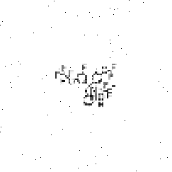 O[C@@H](CN[C@](Cc1ccccc1)(c1ccc(OC(F)F)cc1)c1cc(F)cc(OC(F)(F)C(F)F)c1)C(F)(F)F